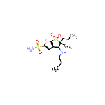 CCCNC1c2cc(S(N)(=O)=O)sc2S(=O)(=O)C1(C)CCC